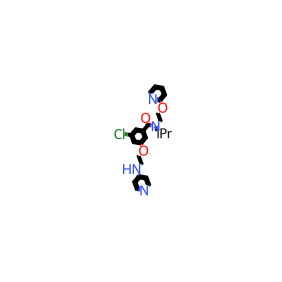 CC(C)N(CCOc1ccccn1)C(=O)c1cc(Cl)cc(OCCNc2ccncc2)c1